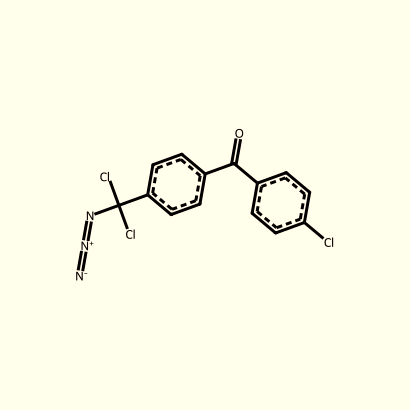 [N-]=[N+]=NC(Cl)(Cl)c1ccc(C(=O)c2ccc(Cl)cc2)cc1